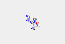 C=C/N=C(\C=C/C)C(=O)[C@@H]1C[C@@H](F)CN1C(=O)Cn1nc(C(C)=O)c2cc(Nc3cccnn3)ncc21